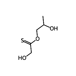 CC(O)COC(=S)CO